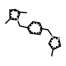 Cc1cnn(Cc2ccc(Cn3c(C)ccc3C)cc2)c1